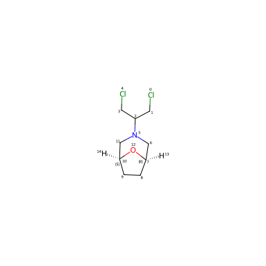 ClCC(CCl)N1C[C@H]2CC[C@@H](C1)O2